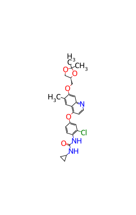 Cc1cc2c(Oc3ccc(NC(=O)NC4CC4)c(Cl)c3)ccnc2cc1OC[C@H]1COC(C)(C)O1